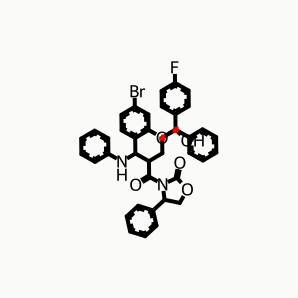 O=C1OCC(c2ccccc2)N1C(=O)C(CCC(O)c1ccc(F)cc1)C(Nc1ccccc1)c1ccc(Br)cc1OCc1ccccc1